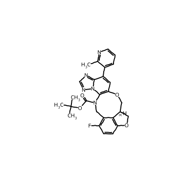 Cc1ncccc1-c1cc2c(n3ncnc13)N(C(=O)OC(C)(C)C)Cc1c(F)ccc3c1[C@H](CO3)CO2